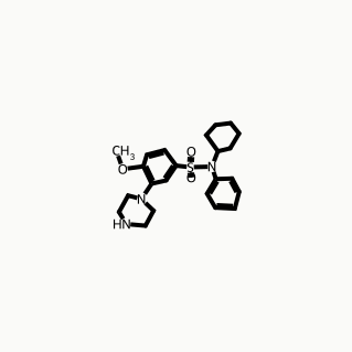 COc1ccc(S(=O)(=O)N(c2ccccc2)C2CCCCC2)cc1N1CCNCC1